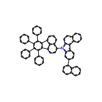 c1ccc(-c2c(-c3ccccc3)c(-c3ccccc3)c3c(c2-c2ccccc2)-c2cccc4c(-n5c6cc(-c7cccc8ccccc78)ccc6c6c7ccccc7ccc65)ccc-3c24)cc1